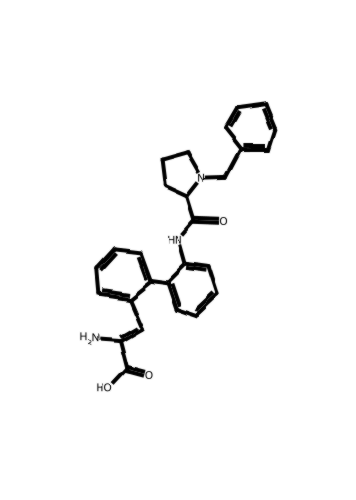 NC(=Cc1ccccc1-c1ccccc1NC(=O)C1CCCN1Cc1ccccc1)C(=O)O